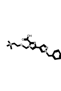 C[Si](C)(C)CCOCn1cc(-c2cnn(Cc3ccccc3)c2)nc1C(=O)O